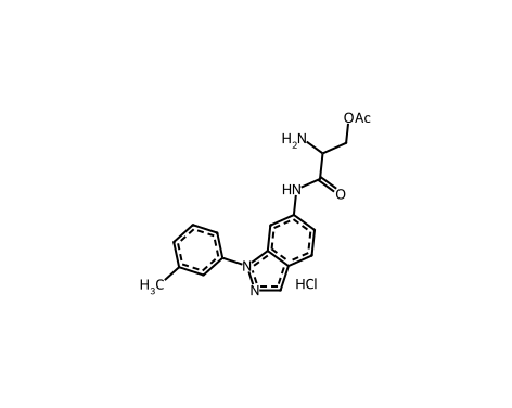 CC(=O)OCC(N)C(=O)Nc1ccc2cnn(-c3cccc(C)c3)c2c1.Cl